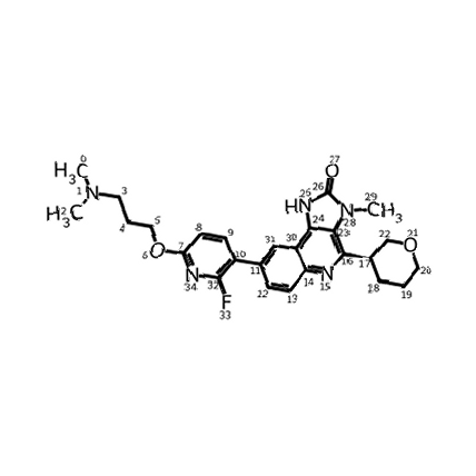 CN(C)CCCOc1ccc(-c2ccc3nc([C@@H]4CCCOC4)c4c([nH]c(=O)n4C)c3c2)c(F)n1